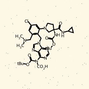 CN(C)Cc1cc(Cl)cc(N2CC[C@](NC(=O)OC(C)(C)C)(C(=O)NC3CC3)C2)c1Cn1cnc2c(N(C(=O)O)C(=O)OC(C)(C)C)ncnc21